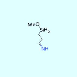 CO[SiH2]CCC=N